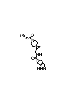 CC(C)(C)OC(=O)N1CCC2(CC1)CC2CNC(=O)N1Cc2cn[nH]c2C1